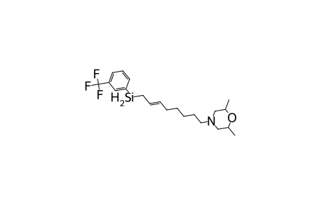 CC1CN(CCCCCC=CC[SiH2]c2cccc(C(F)(F)F)c2)CC(C)O1